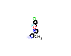 C[C@H]1CNCC[C@H]1c1cccc(OCc2ccc(Cl)cc2F)n1